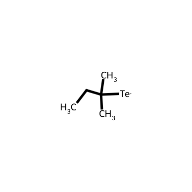 CCC(C)(C)[Te]